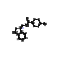 CC(=O)N1CCN(C(=S)N/C=C2/CNc3ccccc32)CC1